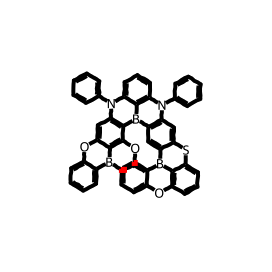 c1ccc(N2c3cc4c(cc3B3c5c2cccc5N(c2ccccc2)c2cc5c6c(c23)Oc2ccccc2B6c2ccccc2O5)B2c3ccccc3Oc3cccc(c32)S4)cc1